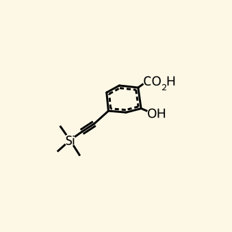 C[Si](C)(C)C#Cc1ccc(C(=O)O)c(O)c1